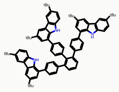 CC(C)(C)c1ccc2[nH]c3c(-c4ccc(-c5cccc(-c6ccc(-c7cc(C(C)(C)C)cc8c7[nH]c7ccc(C(C)(C)C)cc78)cc6)c5-c5ccc(-c6cc(C(C)(C)C)cc7c6[nH]c6ccc(C(C)(C)C)cc67)cc5)cc4)cc(C(C)(C)C)cc3c2c1